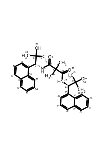 CC(C)(C(=O)N[C@H](c1cccc2ccccc12)C(C)(C)O)C(=O)N[C@H](c1cccc2ccccc12)C(C)(C)O